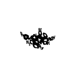 CC1(C)Cn2c(=O)c(C(=O)NCCO)c(O)c3ncc(Cc4ccc(F)cc4)c1c32